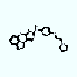 c1cc2c3c(c[nH]c3c1)-c1cnc(Nc3ccc(OCCN4CCCC4)cc3)nc1N2